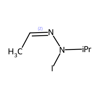 C/C=N\N(I)C(C)C